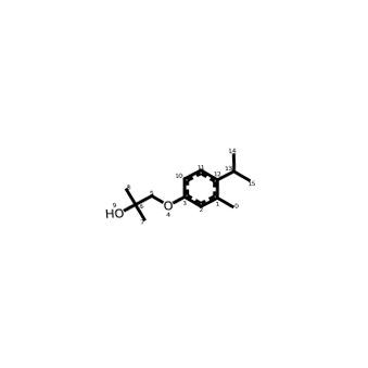 Cc1cc(OCC(C)(C)O)ccc1C(C)C